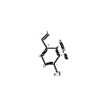 C=C=C.C=Cc1ccc(Cl)cc1